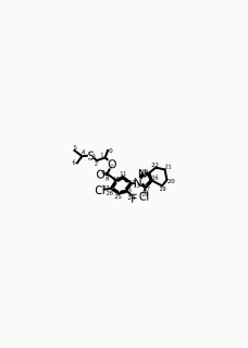 CC(CSC(C)C)OC(=O)c1cc(-n2nc3c(c2Cl)CCCC3)c(F)cc1Cl